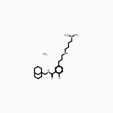 CN(C)CCCCNCCCc1ccc(Cl)c(C(=O)NCC23CCCC(CCC2)C3)c1.[CH2]